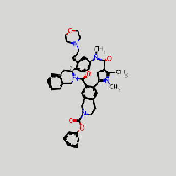 Cc1c(C(=O)N(C)c2ccccc2)cc(-c2cc3c(cc2C(=O)N2Cc4ccccc4C[C@H]2CCCN2CCOCC2)CN(C(=O)Oc2ccccc2)CC3)n1C